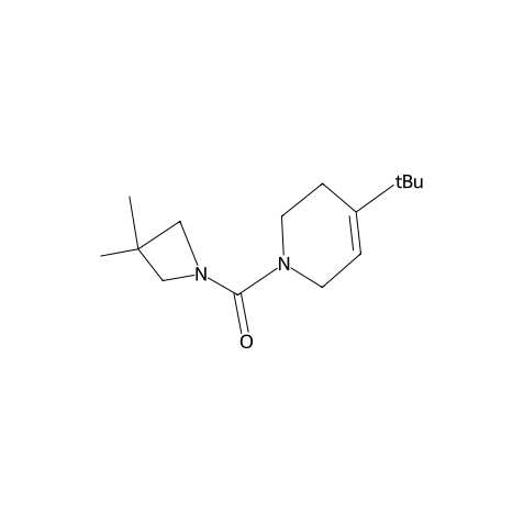 CC1(C)CN(C(=O)N2CC=C(C(C)(C)C)CC2)C1